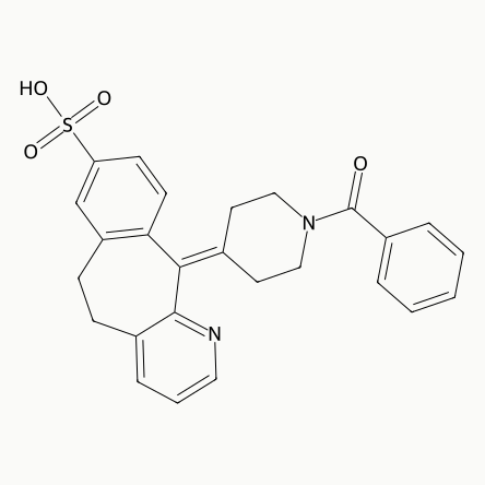 O=C(c1ccccc1)N1CCC(=C2c3ccc(S(=O)(=O)O)cc3CCc3cccnc32)CC1